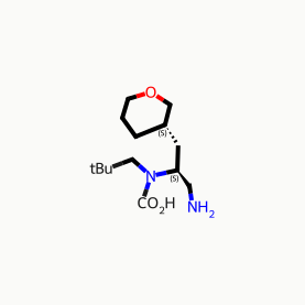 CC(C)(C)CN(C(=O)O)[C@H](CN)C[C@@H]1CCCOC1